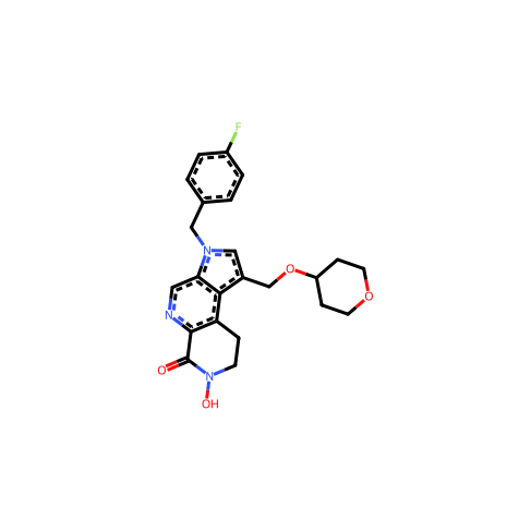 O=C1c2ncc3c(c(COC4CCOCC4)cn3Cc3ccc(F)cc3)c2CCN1O